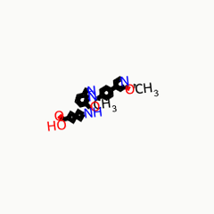 CCOc1cc(-c2ccc(C(C)n3ncc4cccc(C(=O)NC5CC6(C5)CC(C(=O)O)C6)c43)cc2)ccn1